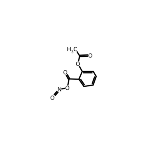 CC(=O)Oc1ccccc1C(=O)ON=O